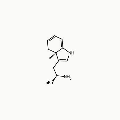 CCCC[C@H](N)CC1=CNC2=CC=CC[C@@]12C